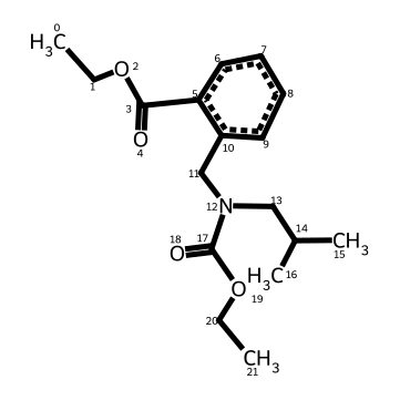 CCOC(=O)c1ccccc1CN(CC(C)C)C(=O)OCC